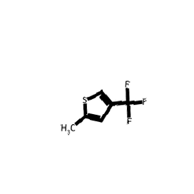 Cc1cc(C(F)(F)F)cs1